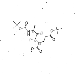 COC(=O)[C@H](CCC(=O)OC(C)(C)C)[C@H](F)C(=O)[C@H](C)NC(=O)OC(C)(C)C